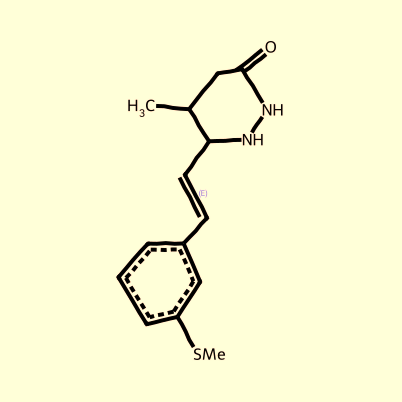 CSc1cccc(/C=C/C2NNC(=O)CC2C)c1